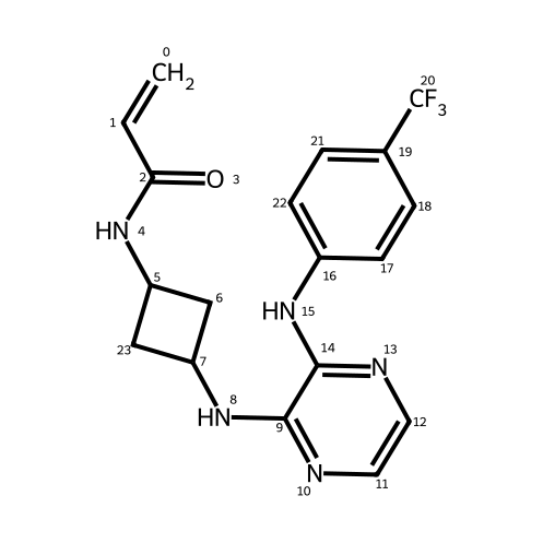 C=CC(=O)NC1CC(Nc2nccnc2Nc2ccc(C(F)(F)F)cc2)C1